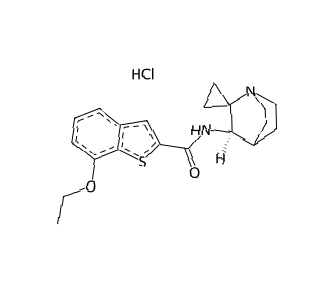 CCOc1cccc2cc(C(=O)N[C@@H]3C4CCN(CC4)C34CC4)sc12.Cl